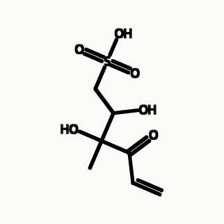 C=CC(=O)C(C)(O)C(O)CS(=O)(=O)O